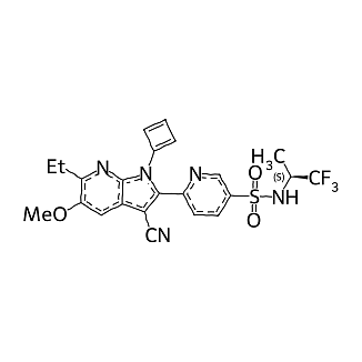 CCc1nc2c(cc1OC)c(C#N)c(-c1ccc(S(=O)(=O)N[C@@H](C)C(F)(F)F)cn1)n2C1=CC=C1